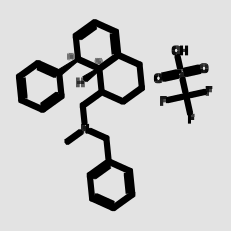 CN(Cc1ccccc1)CC1CCCC2=CC=C[C@H](c3ccccc3)[C@H]21.O=S(=O)(O)C(F)(F)F